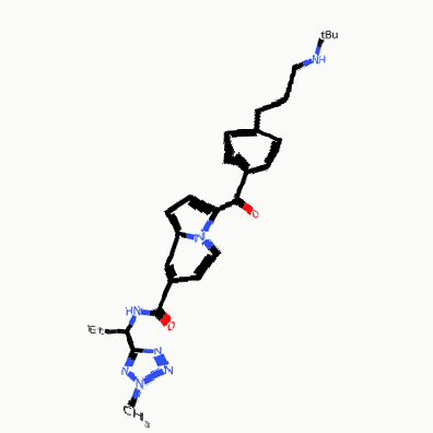 CCC(NC(=O)c1ccn2c(C(=O)c3ccc(CCCNC(C)(C)C)cc3)ccc2c1)c1nnn(C)n1